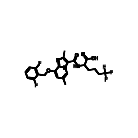 Cc1cc(OCc2c(F)cccc2F)c2nc(C)c(C(=O)NC(CCCC(F)(F)F)C(=O)O)n2c1